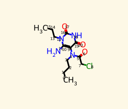 CCCCN(C(=O)CCl)c1c(N)n(CCC)c(=O)[nH]c1=O